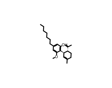 C=C(C)[C@@H]1CCC(C)=C[C@H]1c1c(O)cc(CCCCCCC)cc1OC